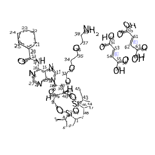 CC(C)[Si]1(C(C)C)OC[C@H]2O[C@@H](n3cnc4c(NC(=O)c5ccccc5)ncnc43)[C@H](OCOCCOCCN)[C@@H]2O[Si](C(C)C)(C(C)C)O1.O=C(O)/C=C/C(=O)O.O=C(O)/C=C/C(=O)O